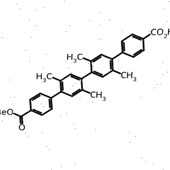 COC(=O)c1ccc(-c2cc(C)c(-c3cc(C)c(-c4ccc(C(=O)O)cc4)cc3C)cc2C)cc1